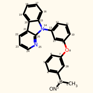 CB(N=O)c1cccc(Oc2cccc(-n3c4ccccc4c4cccnc43)c2)c1